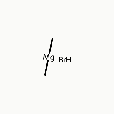 Br.[CH3][Mg][CH3]